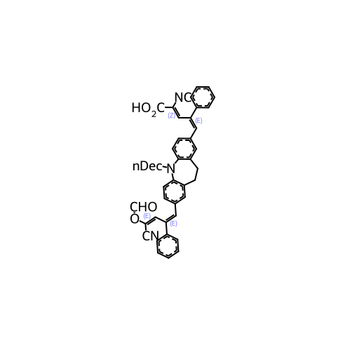 [C-]#[N+]/C(=C\C(=C/c1ccc2c(c1)CCc1cc(/C=C(\C=C(/C#N)OC=O)c3ccccc3)ccc1N2CCCCCCCCCC)c1ccccc1)C(=O)O